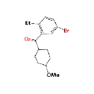 CCc1ccc(Br)cc1C(=O)C1CCC(OC)CC1